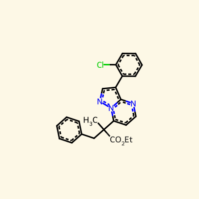 CCOC(=O)C(C)(Cc1ccccc1)c1ccnc2c(-c3ccccc3Cl)cnn12